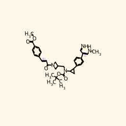 CN/C=C(\C=N)c1ccc(C2CC2N(CC2CN(C(=O)/C=C/c3ccc(C(=O)OC)cc3)C2)C(=O)OC(C)(C)C)cc1